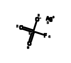 O=S(=O)([O-])F.[Ag+]